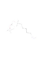 C[Si](C)(C)O[Si](C)(C)O[Si](C)(C)CCCCCN